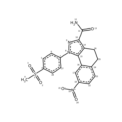 CS(=O)(=O)c1ccc(-n2nc(C(N)=O)c3c2-c2cc([N+](=O)[O-])ccc2CC3)cc1